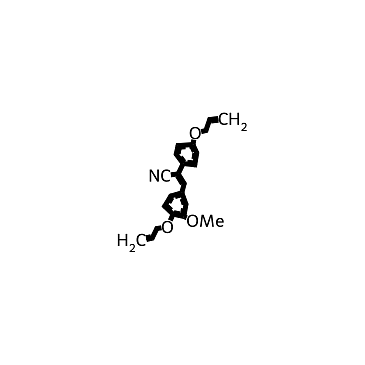 C=CCOc1ccc(/C(C#N)=C/c2ccc(OCC=C)c(OC)c2)cc1